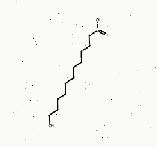 CCCCCCCCCCCCS(=O)O